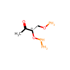 CC(=O)[C@H](COP)OPP